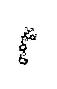 O=C(O)/C=C/c1cn(Cc2ccc(OCc3ccccc3)cc2)nc1-c1ccc(F)cc1